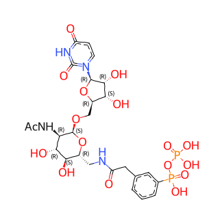 CC(=O)N[C@H]1[C@@H](OC[C@H]2O[C@@H](n3ccc(=O)[nH]c3=O)[C@H](O)[C@@H]2O)O[C@H](CNC(=O)Cc2cccc(P(=O)(O)OP(=O)(O)O)c2)[C@@H](O)[C@@H]1O